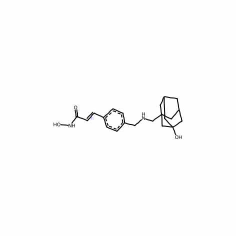 O=C(/C=C/c1ccc(CNCC23CC4CC(CC(O)(C4)C2)C3)cc1)NO